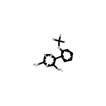 Nc1nnc(-c2ccccc2OC(F)(F)F)c(N)n1